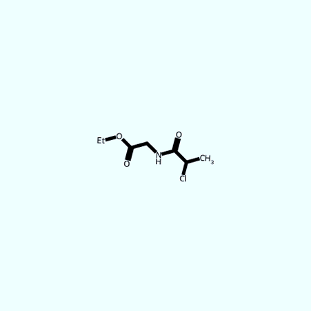 CCOC(=O)CNC(=O)C(C)Cl